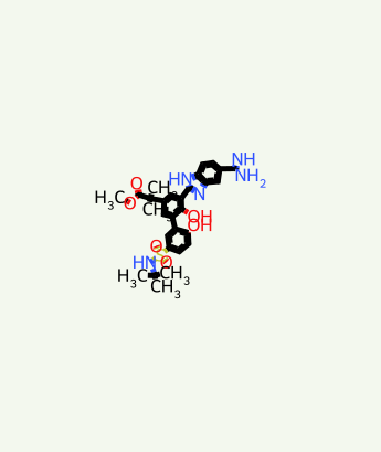 COC(=O)C(C)(C)c1cc(-c2nc3cc(C(=N)N)ccc3[nH]2)c(O)c(-c2cc(S(=O)(=O)NC(C)(C)C)ccc2O)c1